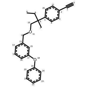 C#Cc1ccc(C(C)(CC)COCc2cccc(Oc3ccccc3)c2)cc1